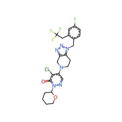 O=c1c(Cl)c(N2CCc3c(nnn3Cc3ccc(F)cc3CC(F)(F)F)C2)cnn1C1CCCCO1